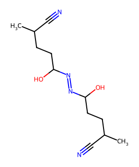 CC(C#N)CCC(O)N=NC(O)CCC(C)C#N